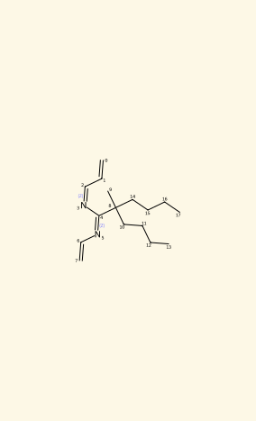 C=C/C=N\C(=N/C=C)C(C)(CCCC)CCCC